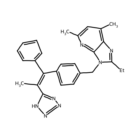 CCc1nc2c(C)cc(C)nc2n1Cc1ccc(/C(=C(/C)c2nnn[nH]2)c2ccccc2)cc1